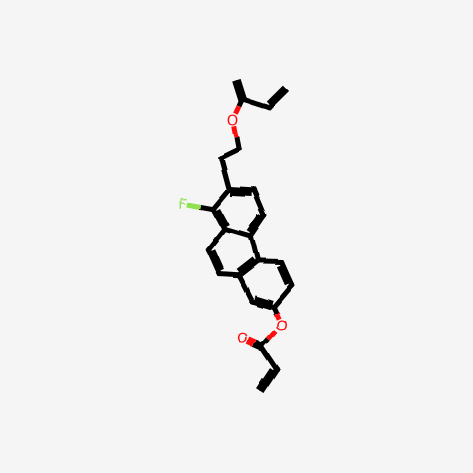 C=CC(=C)OCCc1ccc2c(ccc3cc(OC(=O)C=C)ccc32)c1F